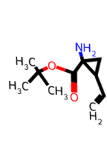 C=CC1CC1(N)C(=O)OC(C)(C)C